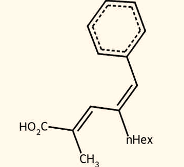 CCCCCCC(=Cc1ccccc1)/C=C(\C)C(=O)O